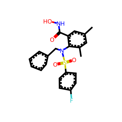 Cc1cc(C)c(N(Cc2ccccc2)S(=O)(=O)c2ccc(F)cc2)c(C(=O)NO)c1